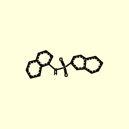 O=S(=O)(Nc1cccc2ccccc12)c1ccc2ccccc2c1